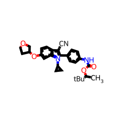 CC(OC(=O)Nc1ccc(-c2c(C#N)c3ccc(OC4CCOC4)cc3n2C2CC2)cc1)C(C)(C)C